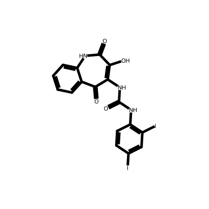 O=C(Nc1ccc(I)cc1I)Nc1c(O)c(=O)[nH]c2ccccc2c1=O